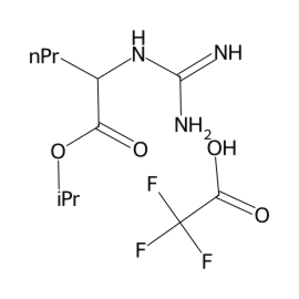 CCCC(NC(=N)N)C(=O)OC(C)C.O=C(O)C(F)(F)F